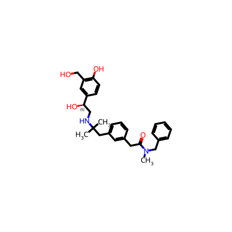 CN(Cc1ccccc1)C(=O)Cc1cccc(CC(C)(C)NC[C@@H](O)c2ccc(O)c(CO)c2)c1